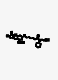 COc1cc(OCCCCCC(=O)N(CCO)C2CCCCC2)cc2c1CN1CC(=O)NC1=N2